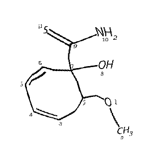 COC1C=CC=CC1(O)C(N)=S